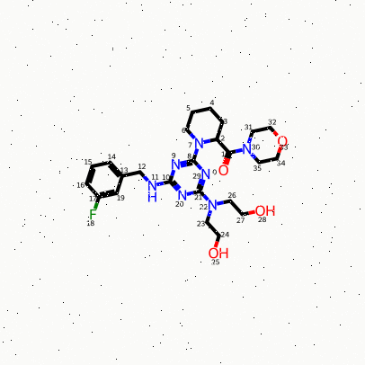 O=C(C1CCCCN1c1nc(NCc2cccc(F)c2)nc(N(CCO)CCO)n1)N1CCOCC1